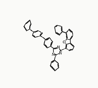 c1ccc(-c2ccc(-c3ccc(-c4nc(-c5ccccc5)nc(-c5cccc6c5oc5c(-c7ccccc7)cccc56)n4)cc3)cc2)cc1